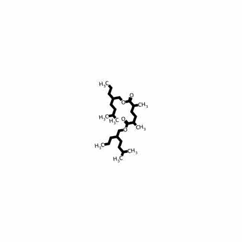 CCCC(CCC(C)C)COC(=O)C(C)CCC(C)C(=O)OCC(CCC)CCC(C)C